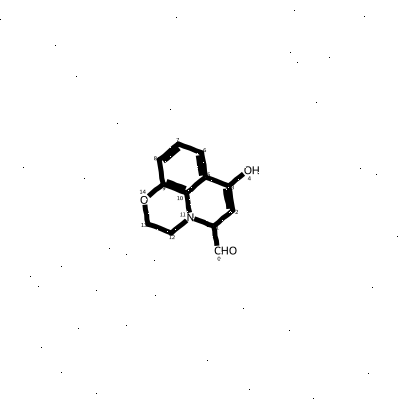 O=CC1C=C(O)c2cccc3c2N1CCO3